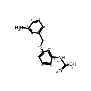 Nc1cccc(CSc2cccc(NC(=O)O)c2)c1